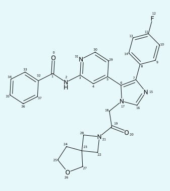 O=C(Nc1cc(-c2c(-c3ccc(F)cc3)ncn2CC(=O)N2CC3(CCOC3)C2)ccn1)c1ccccc1